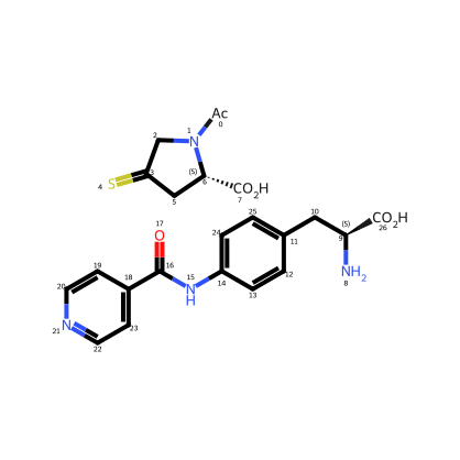 CC(=O)N1CC(=S)C[C@H]1C(=O)O.N[C@@H](Cc1ccc(NC(=O)c2ccncc2)cc1)C(=O)O